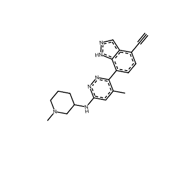 C#Cc1ccc(-c2nnc(NC3CCCN(C)C3)cc2C)c2[nH]ncc12